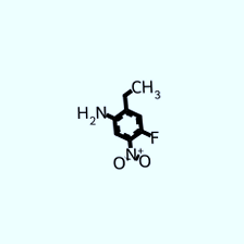 CCc1cc(F)c([N+](=O)[O-])cc1N